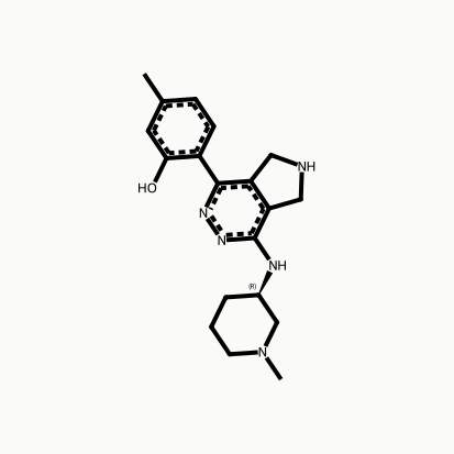 Cc1ccc(-c2nnc(N[C@@H]3CCCN(C)C3)c3c2CNC3)c(O)c1